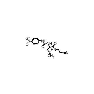 CSCC(NC(=O)Nc1ccc([N+](=O)[O-])cc1)C(=O)NCCC#N